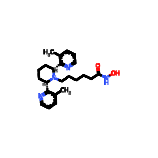 Cc1cccnc1[C@H]1CCC[C@@H](c2ncccc2C)N1CCCCCC(=O)NO